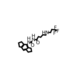 O=C(CCCCNCCC(F)(F)F)NC(=O)Nc1c2c(cc3c1CCC3)CCC2